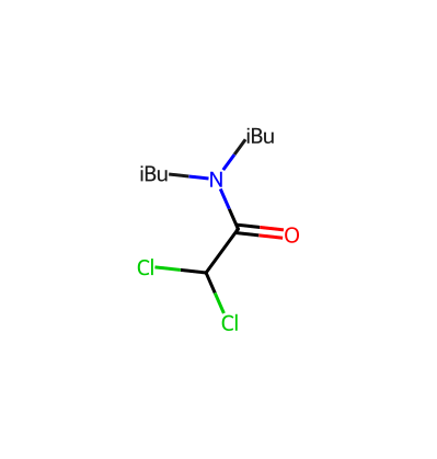 CCC(C)N(C(=O)C(Cl)Cl)C(C)CC